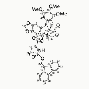 COc1cc([C@@H]2c3cc4c(cc3[C@H](OC(=O)C(CC(C)C)NC(=O)OCC3c5ccccc5-c5ccccc53)[C@H]3COC(=O)[C@@H]23)OCO4)cc(OC)c1OC